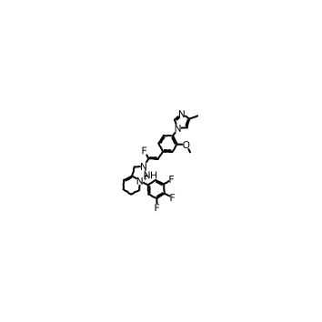 COc1cc(/C=C(\F)N2CC3=CCCC[N+]3(c3cc(F)c(F)c(F)c3)N2)ccc1-n1cnc(C)c1